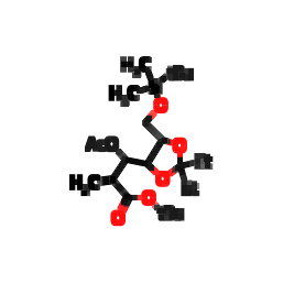 C=C(C(=O)OC(C)(C)C)C(OC(C)=O)C1OC(CC)(CC)OC1CO[Si](C)(C)C(C)(C)C